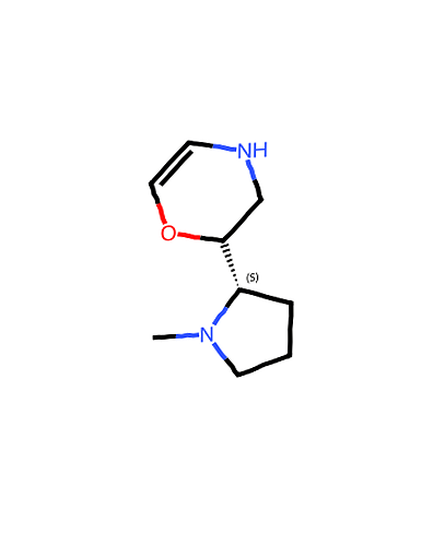 CN1CCC[C@H]1C1CNC=CO1